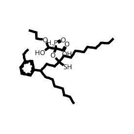 CCCCCCCCCC(S)(CCC(CCCCCCC)c1cccc(CC)c1)OC([PH2]=O)(C(=O)O)C(O)OCCC